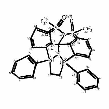 CCC(CC)(N1[PH](c2ccccc2)(c2ccccc2)CC[PH]1(c1ccccc1)c1ccccc1)N(S(=O)(=O)C(F)(F)F)S(=O)(=O)C(F)(F)F